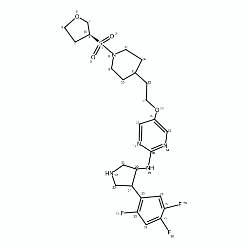 O=S(=O)([C@H]1CCOC1)N1CCC(CCOc2cnc(NC3CNCC3c3cc(F)c(F)cc3F)nc2)CC1